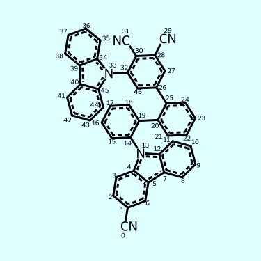 N#Cc1ccc2c(c1)c1ccccc1n2-c1ccccc1-c1ccccc1-c1cc(C#N)c(C#N)c(-n2c3ccccc3c3ccccc32)c1